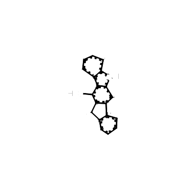 Cc1c2c(cc3[nH]c4ccccc4c13)-c1ccccc1C2